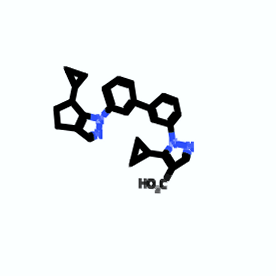 O=C(O)c1cnn(-c2cccc(-c3cccc(-n4ncc5c4C(C4CC4)CC5)c3)c2)c1C1CC1